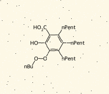 CCCCCc1c(CCCCC)c(OOCCCC)c(O)c(C(=O)O)c1CCCCC